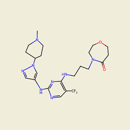 CN1CCC(n2cc(Nc3ncc(C(F)(F)F)c(NCCCN4CCOCCC4=O)n3)cn2)CC1